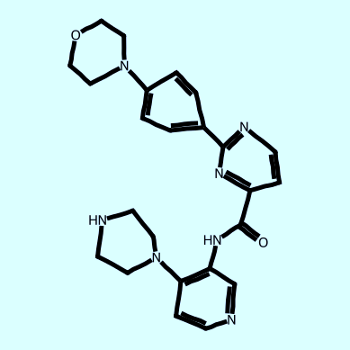 O=C(Nc1cnccc1N1CCNCC1)c1ccnc(-c2ccc(N3CCOCC3)cc2)n1